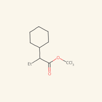 CCC(C(=O)OC(Cl)(Cl)Cl)C1CCCCC1